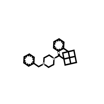 O=C(N1CCN(Cc2ccccc2)CC1)C12CC3CC4CC(c5ccccc5)(C1)C342